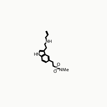 C=CCNCCc1c[nH]c2ccc(CCS(=O)(=O)NC)cc12